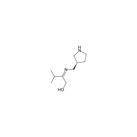 CC(C)/C(CO)=N/C[C@@H]1CCNC1